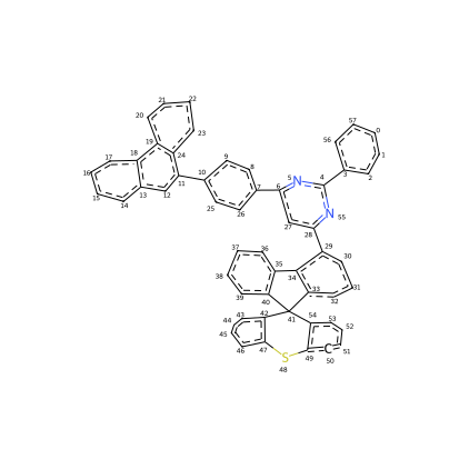 c1ccc(-c2nc(-c3ccc(-c4cc5ccccc5c5ccccc45)cc3)cc(-c3cccc4c3-c3ccccc3C43c4ccccc4Sc4ccccc43)n2)cc1